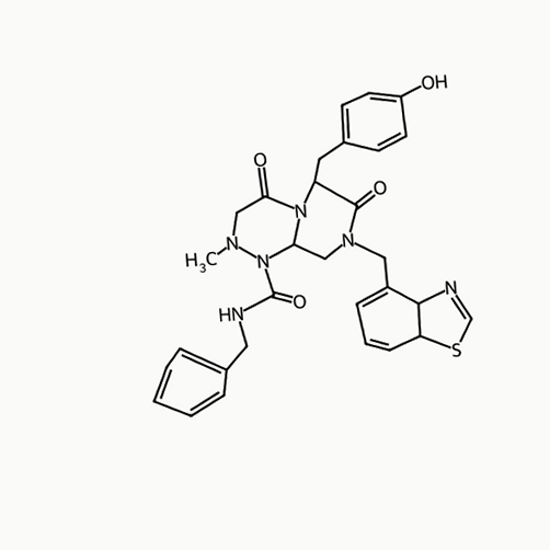 CN1CC(=O)N2C(Cc3ccc(O)cc3)C(=O)N(CC3=CC=CC4SC=NC34)CC2N1C(=O)NCc1ccccc1